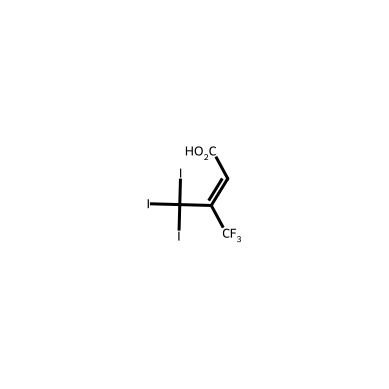 O=C(O)/C=C(/C(F)(F)F)C(I)(I)I